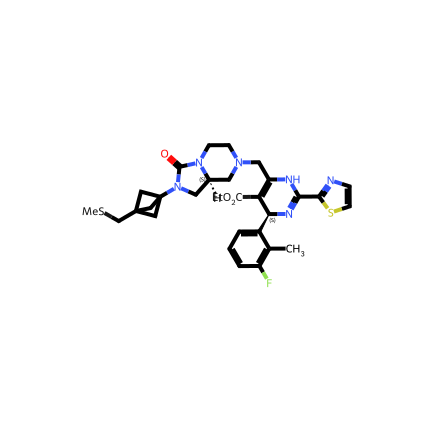 CCOC(=O)C1=C(CN2CCN3C(=O)N(C45CC(CSC)(C4)C5)C[C@@H]3C2)NC(c2nccs2)=N[C@H]1c1cccc(F)c1C